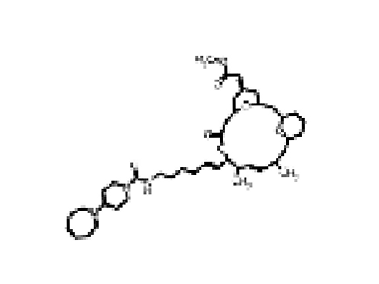 COC(=O)/C=C1\CC2CC(=O)OC(/C=C/CCCCNC(=O)N3CCC(N4CCCCCC4)CC3)C(C)/C=C/C(C)CC3CCCC(CC(C1)O2)O3